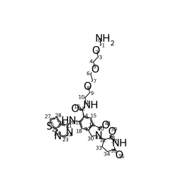 NCOCCOCCOCCNC(=O)c1cc2c(cc1Nc1ncnc3sccc13)CN(C1CCC(=O)NC1=O)C2=O